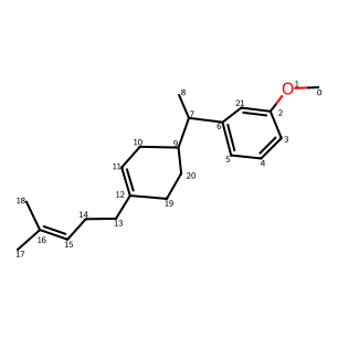 COc1cccc(C(C)C2CC=C(CCC=C(C)C)CC2)c1